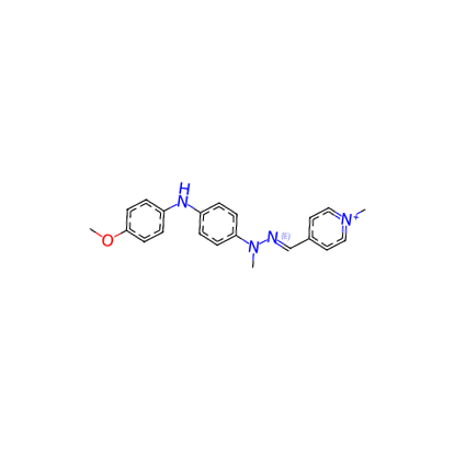 COc1ccc(Nc2ccc(N(C)/N=C/c3cc[n+](C)cc3)cc2)cc1